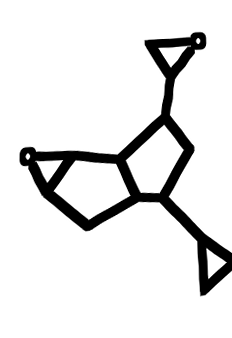 C1CC1C1CC(C2CO2)C2C1CC1OC12